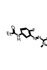 CCC(=O)Nc1ccc(F)c(/N=N/C2N(C)C=CN2C)c1